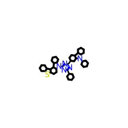 c1ccc(-c2nc(-c3ccc4c5ccccc5n(-c5ccccc5)c4c3)nc(-n3c4ccccc4c4c5c(ccc43)sc3ccccc35)n2)cc1